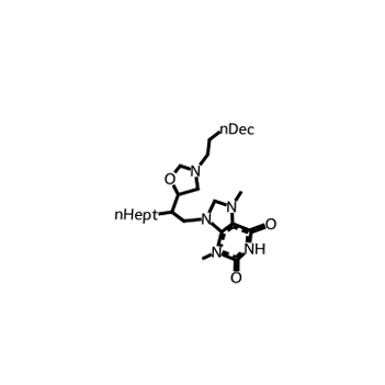 CCCCCCCCCCCCN1COC(C(CCCCCCC)CN2CN(C)c3c2n(C)c(=O)[nH]c3=O)C1